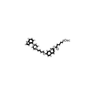 CCCCCCCCCCCCCCC(=O)Oc1ccc2ccc(OCCCCN3CCN(c4cccc5sccc45)CC3)cc2n1